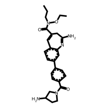 CCCN(OCC)C(=O)C1=Cc2ccc(-c3ccc(C(=O)N4CCC(N)C4)cc3)cc2N=C(N)C1